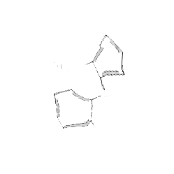 [Cu+2].[O-]c1ccccc1Sc1ccccc1[O-]